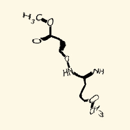 COCC(=N)NO/C=C/C(=O)OC